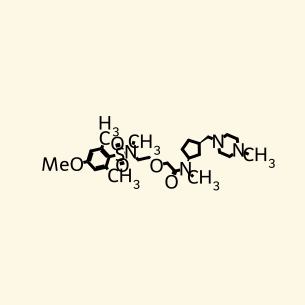 COc1cc(C)c(S(=O)(=O)N(C)CCOCC(=O)N(C)[C@@H]2CC[C@@H](CN3CCN(C)CC3)C2)c(C)c1